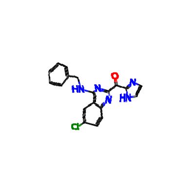 O=C(c1nc(NCc2ccccc2)c2cc(Cl)ccc2n1)c1ncc[nH]1